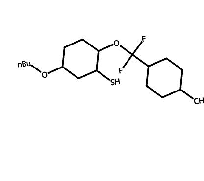 CCCCOC1CCC(OC(F)(F)C2CCC(C)CC2)C(S)C1